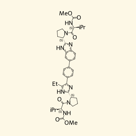 CCc1[nH]c([C@@H]2CCCN2C(=O)[C@@H](NC(=O)OC)C(C)C)nc1-c1ccc(-c2ccc3nc([C@@H]4CCCN4C(=O)[C@@H](NC(=O)OC)C(C)C)[nH]c3c2)cc1